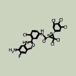 Nc1cc(NC(=O)c2cc(NC(=O)[C@H]3[C@H](c4cc(Cl)c(Cl)c(Cl)c4)C3(Cl)Cl)ccc2Cl)c(F)cc1F